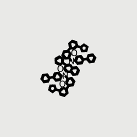 c1ccc(-c2ccc(N(c3cccc4c3oc3c(C5CCCC5)cccc34)c3c4ccccc4c(N(c4ccc(-c5ccccc5)cc4)c4cccc5c4oc4c(C6CCCC6)cccc45)c4c3oc3ccccc34)cc2)cc1